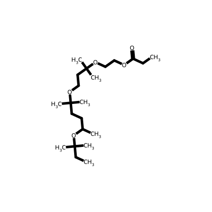 CCC(=O)OCCOC(C)(C)CCOC(C)(C)CCC(C)OC(C)(C)CC